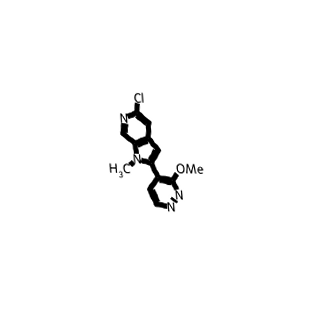 COc1nnccc1-c1cc2cc(Cl)ncc2n1C